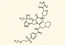 COCCS(=O)(=O)c1ccc(C(=O)NC(CC2CCCCC2)C(=O)N2C[C@@H](n3nncc3C(C)(C)O)C[C@H]2C(=O)NC2CCOC(C(=O)C(N)=O)C2)cc1